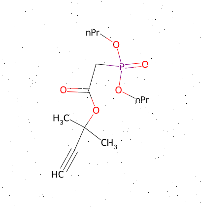 C#CC(C)(C)OC(=O)CP(=O)(OCCC)OCCC